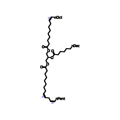 CCCCC/C=C\C/C=C\CCCCCCCC(=O)OCC(COC(=O)CCCCCCC/C=C\CCCCCCCC)OC(=O)CCCCCCCCCCCCCCC